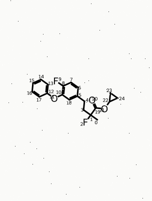 CC(F)(CCc1ccc(F)c(Oc2ccccc2)c1)C(=O)OC1CC1